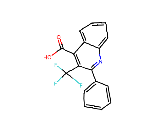 O=C(O)c1c(C(F)(F)F)c(-c2ccccc2)nc2ccccc12